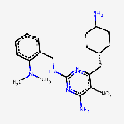 CN(C)c1ccccc1CNc1nc(N)c([N+](=O)[O-])c(C[C@H]2CC[C@H](N)CC2)n1